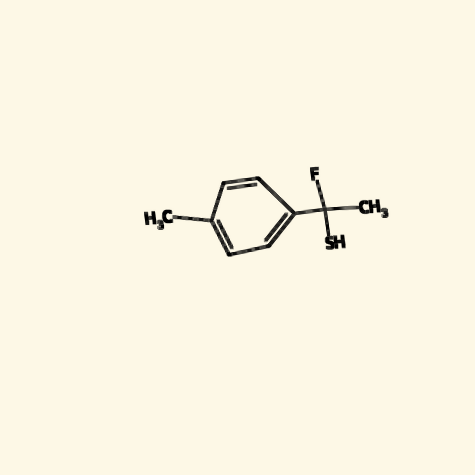 Cc1ccc(C(C)(F)S)cc1